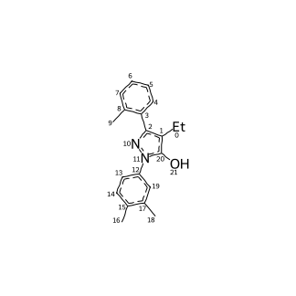 CCc1c(-c2ccccc2C)nn(-c2ccc(C)c(C)c2)c1O